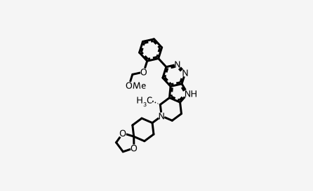 COCOc1ccccc1-c1cc2c3c([nH]c2nn1)CCN(C1CCC2(CC1)OCCO2)[C@@H]3C